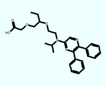 CCC(COCC(=O)O)OCCN(c1cnc(-c2ccccc2)c(-c2ccccc2)n1)C(C)C